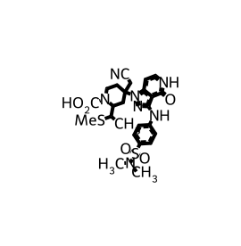 CSC(C)C1CC(CC#N)(n2nc(Nc3ccc(S(=O)(=O)N(C)C)cc3)c3c(=O)[nH]ccc32)CCN1C(=O)O